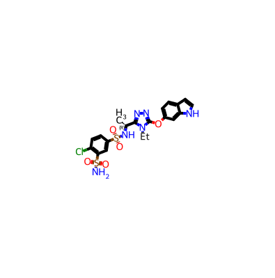 CCn1c(Oc2ccc3cc[nH]c3c2)nnc1[C@@H](C)NS(=O)(=O)c1ccc(Cl)c(S(N)(=O)=O)c1